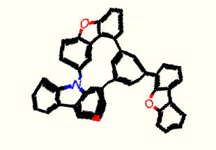 c1ccc(-c2cc(-c3cccc4c3oc3ccccc34)cc(-c3cccc4oc5ccc(-n6c7ccccc7c7ccccc76)cc5c34)c2)cc1